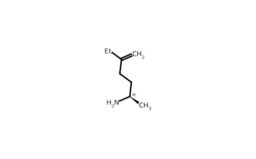 C=C(CC)CC[C@@H](C)N